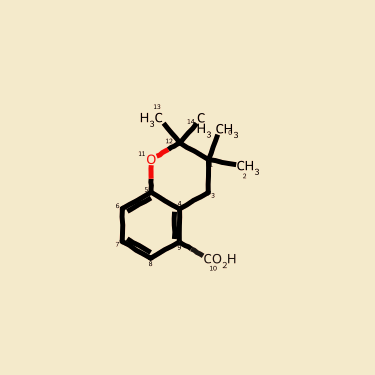 CC1(C)Cc2c(cccc2C(=O)O)OC1(C)C